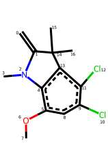 C=C1N(C)c2c(OC)cc(Cl)c(Cl)c2C1(C)C